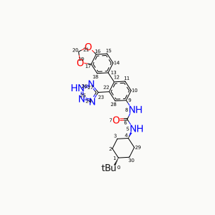 CC(C)(C)[C@H]1CC[C@@H](NC(=O)Nc2ccc(-c3ccc4c(c3)OCO4)c(-c3nn[nH]n3)c2)CC1